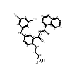 CC(NC(=O)c1cc(Nc2cc(F)cc(F)c2)ccc1CCCC(=O)O)c1cccc2ccccc12